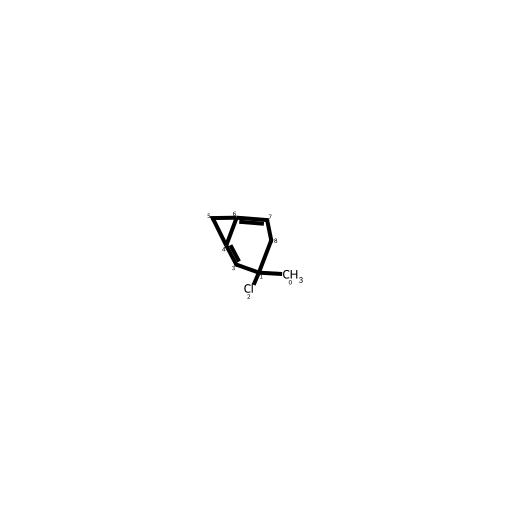 CC1(Cl)C=C2CC2=CC1